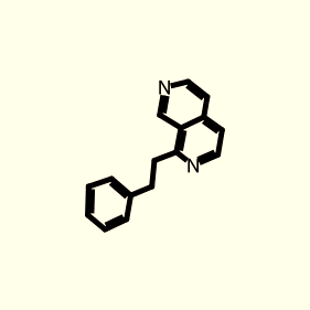 c1ccc(CCc2nccc3ccncc23)cc1